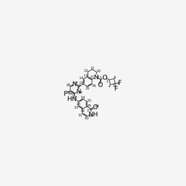 O=C(OC1CC(F)(F)C1)N1CCCc2cc(-c3ncc(F)c(Nc4ccc5c(=O)[nH]ccc5c4)n3)ccc21